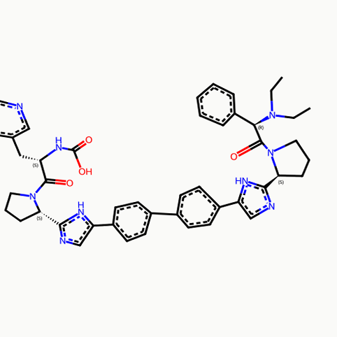 CCN(CC)[C@@H](C(=O)N1CCC[C@H]1c1ncc(-c2ccc(-c3ccc(-c4cnc([C@@H]5CCCN5C(=O)[C@H](Cc5cccnc5)NC(=O)O)[nH]4)cc3)cc2)[nH]1)c1ccccc1